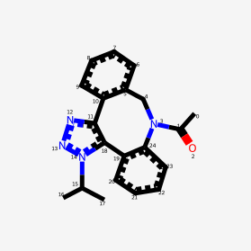 CC(=O)N1Cc2ccccc2-c2nnn(C(C)C)c2-c2ccccc21